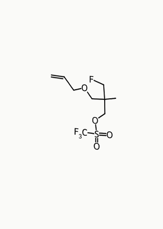 C=CCOCC(C)(CF)COS(=O)(=O)C(F)(F)F